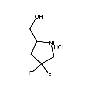 Cl.OCC1CC(F)(F)CN1